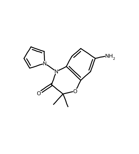 CC1(C)Oc2cc(N)ccc2N(n2cccc2)C1=O